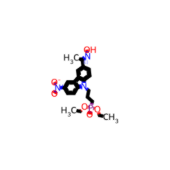 CCOP(=O)(CCCn1c2ccc(/C(C)=N/O)cc2c2cc([N+](=O)[O-])ccc21)OCC